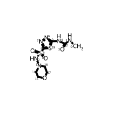 CNC(=O)Nc1nnc(S(=O)(=O)NN2CCOCC2)s1